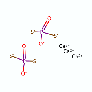 O=P([O-])([S-])[S-].O=P([O-])([S-])[S-].[Ca+2].[Ca+2].[Ca+2]